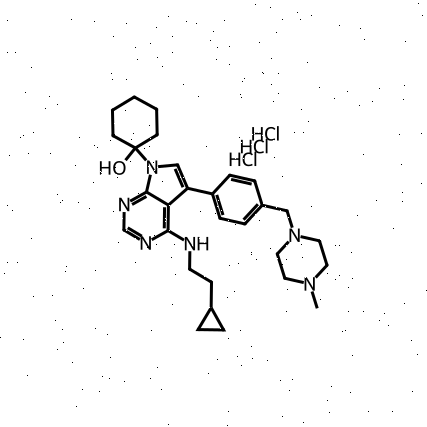 CN1CCN(Cc2ccc(-c3cn(C4(O)CCCCC4)c4ncnc(NCCC5CC5)c34)cc2)CC1.Cl.Cl.Cl